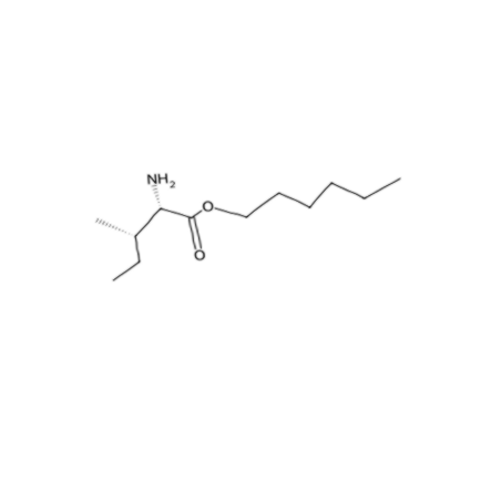 CCCCCCOC(=O)[C@@H](N)[C@@H](C)CC